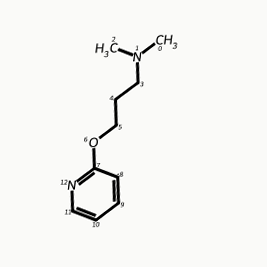 CN(C)CCCOc1[c]cccn1